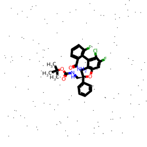 CC(C)(C)OC(=O)NC[C@@]1(c2ccccc2)Cc2c(cc(F)c(Cl)c2-c2c(F)cccc2C(N)=O)O1